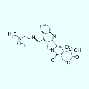 CC[C@@]1(O)C(=O)OCc2c1cc1n(c2=O)Cc2c-1nc1ccccc1c2C=NCCN(C)C